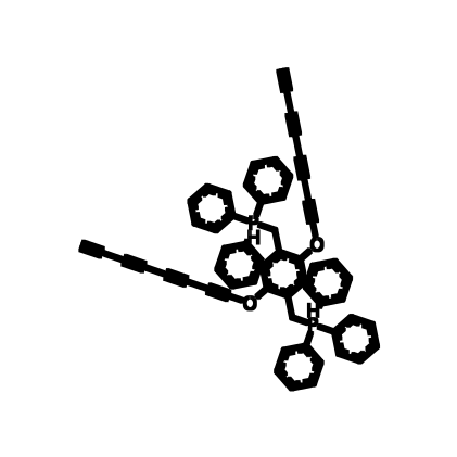 C#CC#CC#CC#COc1cc(C[PH](c2ccccc2)(c2ccccc2)c2ccccc2)c(OC#CC#CC#CC#C)cc1C[PH](c1ccccc1)(c1ccccc1)c1ccccc1